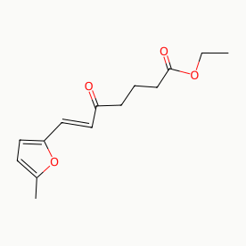 CCOC(=O)CCCC(=O)C=Cc1ccc(C)o1